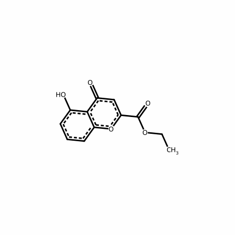 CCOC(=O)c1cc(=O)c2c(O)cccc2o1